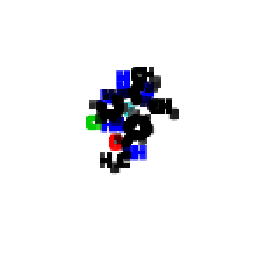 CNC(=O)c1cccc(F)c1Nc1cc(Nc2cn(C)nc2C)ncc1Cl